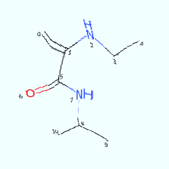 C=C(NCC)C(=O)NC(C)C